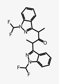 CC(C(=O)C(C)c1nn(C(F)F)c2ccccc12)c1nn(C(F)F)c2ccccc12